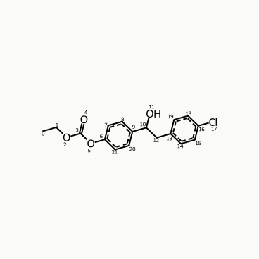 CCOC(=O)Oc1ccc(C(O)Cc2ccc(Cl)cc2)cc1